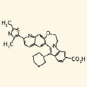 Cc1nc(C)c(-c2ccc3cc4c(cc3n2)OCCn2c-4c(C3CCCCC3)c3ccc(C(=O)O)cc32)s1